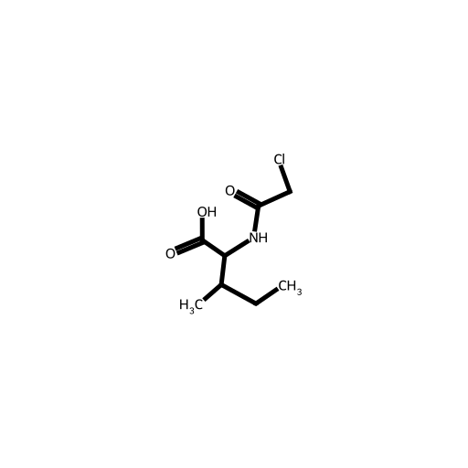 CCC(C)C(NC(=O)CCl)C(=O)O